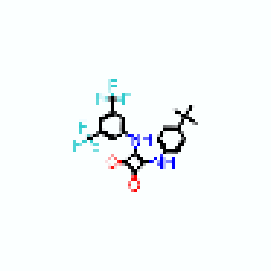 CC(C)(C)c1ccc(Nc2c(Nc3cc(C(F)(F)F)cc(C(F)(F)F)c3)c(=O)c2=O)cc1